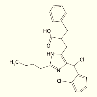 CCCCc1nc(C(Cl)c2ccccc2Cl)c(CC(Cc2ccccc2)C(=O)O)[nH]1